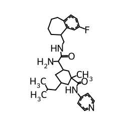 CC(C)CC1CC(C(N)C(=O)NCC2CCCCc3ccc(F)cc32)CC(C)(C(=O)Nc2ccncc2)C1